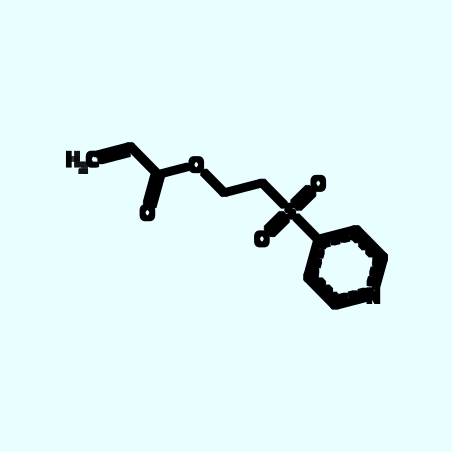 C=CC(=O)OCCS(=O)(=O)c1ccncc1